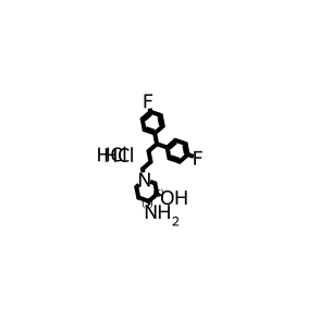 Cl.Cl.N[C@H]1CCN(CCCC(c2ccc(F)cc2)c2ccc(F)cc2)C[C@@H]1O